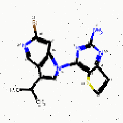 CC(C)c1cn(-c2nc(N)nc3ccsc23)c2cc(Br)ncc12